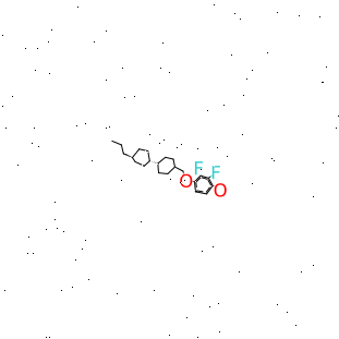 CCC[C@H]1CC[C@H](C2CCC(COc3ccc(OC)c(F)c3F)CC2)CC1